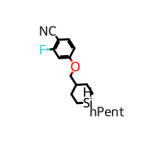 CCCCC[SiH]1CCC(COc2ccc(C#N)c(F)c2)CC1